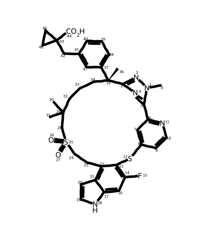 Cn1nc2nc1-c1cc(ccn1)Sc1c(F)cc3[nH]ccc3c1CCS(=O)(=O)CC(C)(C)CCC[C@]2(C)c1cccc(CC2(C(=O)O)CC2)c1